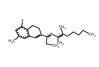 CCCCC/C(C)=C(C)/N=C(\CC)C1=Cc2cc(C)cc(F)c2CC1